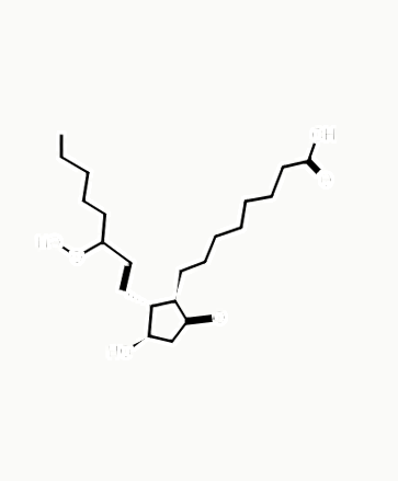 CCCCCC(C=C[C@H]1[C@H](O)CC(=O)[C@@H]1CCCCCCCC(=O)O)OO